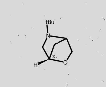 CC(C)(C)N1C[C@@H]2CC1CO2